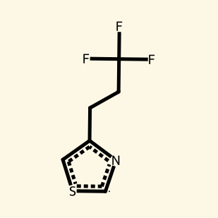 FC(F)(F)CCc1cs[c]n1